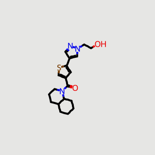 O=C(c1csc(-c2cnn(CCO)c2)c1)N1CCCC2CCCCC21